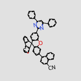 N#Cc1ccc(-c2ccc3c(c2)Oc2cc(-c4nc(-c5ccccc5)cc(-c5ccccc5)n4)ccc2C32c3ccccc3-c3ccccc32)c2ccccc12